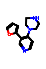 c1coc(-c2cnccc2N2CCNCC2)c1